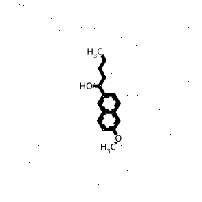 CCCCC(O)c1ccc2cc(OC)ccc2c1